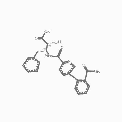 O=C(N[C@H](Cc1ccccc1)[C@@H](O)C(=O)O)c1ccc(-c2ccccc2C(=O)O)cn1